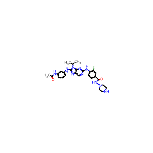 CC(=O)Nc1cccc(Nc2nc3cnc(Nc4ccc(C(=O)NN5CCNCC5)cc4F)nc3n2C(C)C)c1